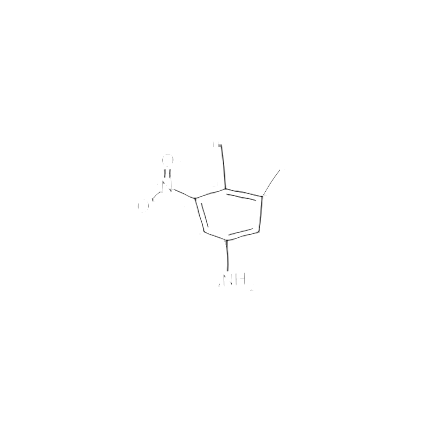 Cc1cc(N)cc([N+](=O)[O-])c1C